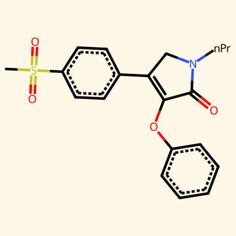 CCCN1CC(c2ccc(S(C)(=O)=O)cc2)=C(Oc2ccccc2)C1=O